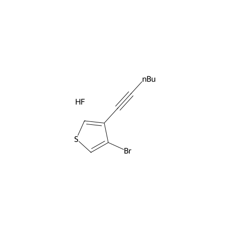 CCCCC#Cc1cscc1Br.F